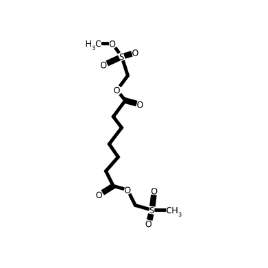 COS(=O)(=O)COC(=O)CCCCCC(=O)OCS(C)(=O)=O